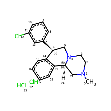 CN1CCN2C[C@H](c3cccc(Cl)c3)c3ccccc3[C@@H]2C1.Cl.Cl